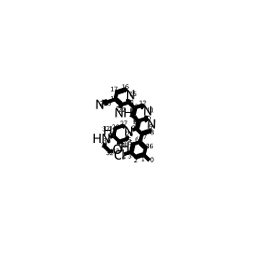 Cc1cc(Cl)cc(-c2cnc3ncc(-c4nccc(C#N)c4N)cc3c2N2CC[C@@H]3NCCO[C@H]3C2)c1